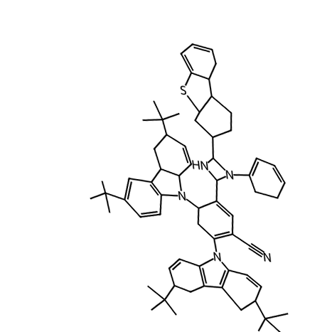 CC(C)(C)c1ccc2c(c1)C1CC(C(C)(C)C)C=CC1N2C1CC(n2c3c(c4c2C=CC(C(C)(C)C)C4)CC(C(C)(C)C)C=C3)=C(C#N)C=C1C1NC(C2CCC3C(C2)SC2=CC=CCC23)N1C1=CC=CCC1